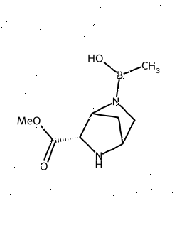 COC(=O)[C@H]1NC2CC1N(B(C)O)C2